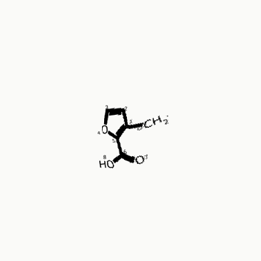 [CH2]c1ccoc1C(=O)O